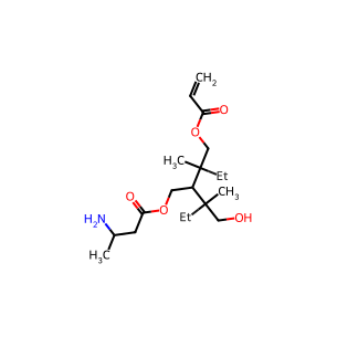 C=CC(=O)OCC(C)(CC)C(COC(=O)CC(C)N)C(C)(CC)CO